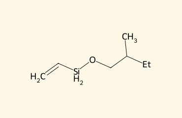 C=C[SiH2]OCC(C)CC